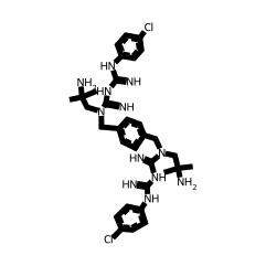 CC(C)(N)CN(Cc1ccc(CN(CC(C)(C)N)C(=N)NC(=N)Nc2ccc(Cl)cc2)cc1)C(=N)NC(=N)Nc1ccc(Cl)cc1